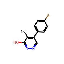 N#Cc1c(-c2ccc(Br)cc2)cnnc1O